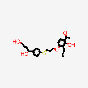 CCCc1c(OCCCSc2ccc(C(O)CCCO)cc2)ccc(C(C)=O)c1O